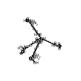 CO[C@]1(C)CC[C@@H](N(N)/C=C(\N)COCCOCCOCCNC(=O)CCC(CCC(=O)NCCOCCOCCOC/C(N)=C/N(N)[C@@H]2CCCO[C@@H]2OCCO)(CCC(=O)NCCOCCOCCOC/C(N)=C/N(N)[C@@H]2CC[C@@H]3CO[C@@H]2O3)NC(=O)CCCCCCCCCCC(=O)NCCN2C(=O)C=CC2=O)OC1